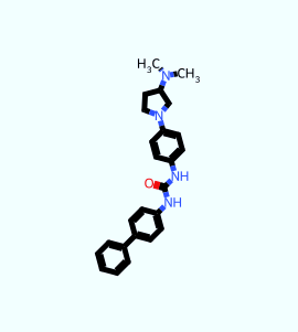 CN(C)C1CCN(c2ccc(NC(=O)Nc3ccc(-c4ccccc4)cc3)cc2)C1